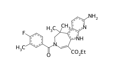 CCOC(=O)C1=CN(C(=O)c2ccc(F)c(C)c2)CC(C)(C)c2c1[nH]c1nc(N)ccc21